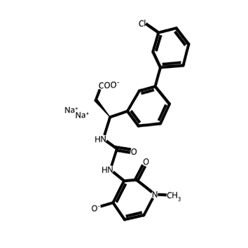 Cn1ccc([O-])c(NC(=O)N[C@@H](CC(=O)[O-])c2cccc(-c3cccc(Cl)c3)c2)c1=O.[Na+].[Na+]